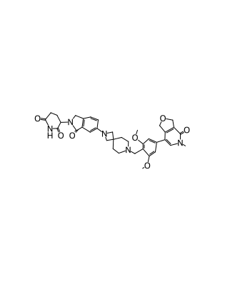 COc1cc(-c2cn(C)c(=O)c3c2COC3)cc(OC)c1CN1CCC2(CC1)CN(c1ccc3c(c1)C(=O)N(C1CCC(=O)NC1=O)C3)C2